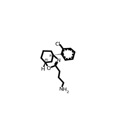 NCCCC1=N[C@]2(c3ccccc3Cl)CCC[C@H](C2)O1